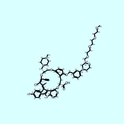 C#C/C1=C(Cl)\C(C)=C(/CC)c2c(-c3ccc(F)cc3)sc3ncnc(c23)O[C@@H](C(=O)O)Cc2cc(ccc2OCc2cccc(N3CCO[C@H](COCCOCCOCCOC)C3)c2)OC[C@@H](CN2CCN(C)CC2)O1